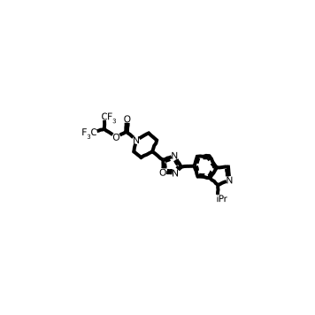 CC(C)C1N=Cc2ccc(-c3noc(C4CCN(C(=O)OC(C(F)(F)F)C(F)(F)F)CC4)n3)cc21